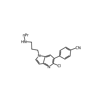 CCCNCCCn1ccc2nc(Cl)c(-c3ccc(C#N)cc3)cc21